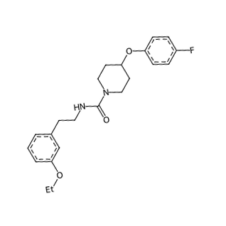 CCOc1cccc(CCNC(=O)N2CCC(Oc3ccc(F)cc3)CC2)c1